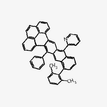 Cc1cccc(C)c1-c1cccc2c(-c3ccccn3)c3cc4c5cccc6ccc7cccc(c4c(-c4ccccc4)c3cc12)c7c65